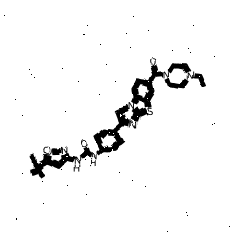 CCN1CCN(C(=O)c2ccc3c(c2)sc2nc(-c4ccc(NC(=O)Nc5cc(C(C)(C)C)on5)cc4)cn23)CC1